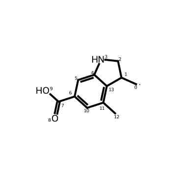 [CH2]C1CNc2cc(C(=O)O)cc(C)c21